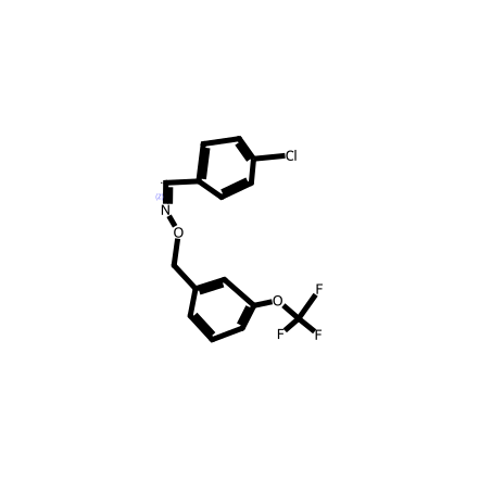 FC(F)(F)Oc1cccc(CO/N=[C]\c2ccc(Cl)cc2)c1